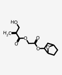 C=C(CO)C(=O)OCC(=O)OC1CC2CCC1O2